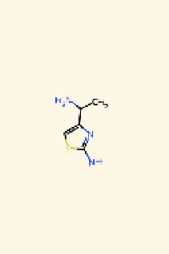 CC(N)c1csc([NH])n1